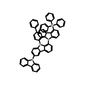 c1ccc(-c2ccc(-n3c4ccc(-n5c6ccccc6c6ccccc65)cc4c4cccc(-n5c6ccccc6c6c([Si](c7ccccc7)(c7ccccc7)c7ccccc7)cccc65)c43)cc2)cc1